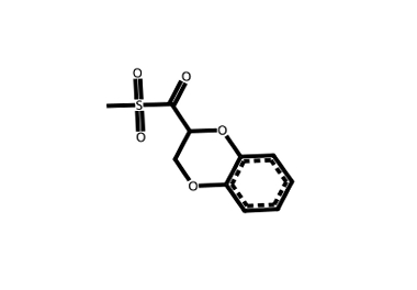 CS(=O)(=O)C(=O)C1COc2ccccc2O1